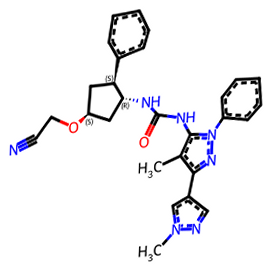 Cc1c(-c2cnn(C)c2)nn(-c2ccccc2)c1NC(=O)N[C@@H]1C[C@@H](OCC#N)C[C@H]1c1ccccc1